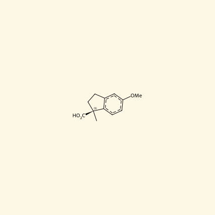 COc1ccc2c(c1)CC[C@]2(C)C(=O)O